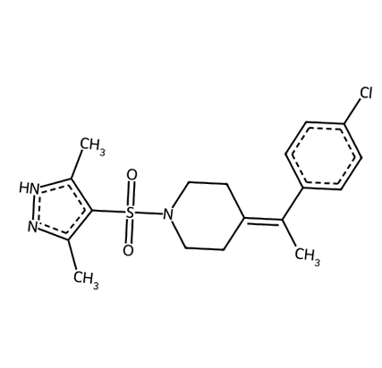 CC(=C1CCN(S(=O)(=O)c2c(C)n[nH]c2C)CC1)c1ccc(Cl)cc1